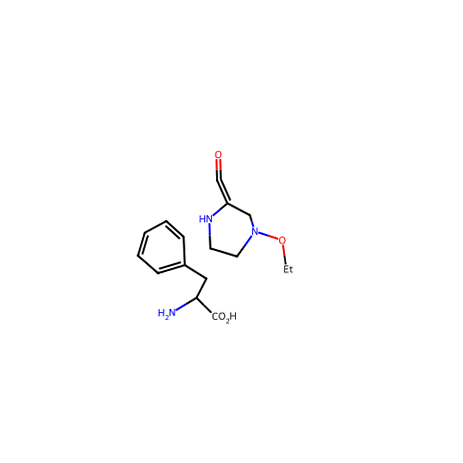 CCON1CCNC(=C=O)C1.NC(Cc1ccccc1)C(=O)O